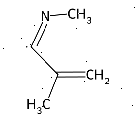 C=C(C)/[C]=N\C